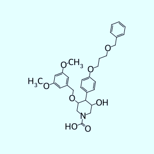 COc1cc(COC2CN(C(=O)O)CC(O)C2c2ccc(OCCCOCc3ccccc3)cc2)cc(OC)c1